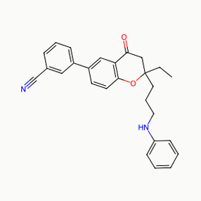 CCC1(CCCNc2ccccc2)CC(=O)c2cc(-c3cccc(C#N)c3)ccc2O1